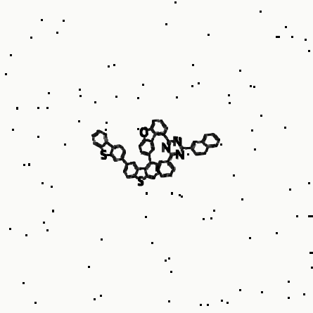 c1ccc(-c2nc(-c3ccc4ccccc4c3)nc(-c3cccc4oc5ccc(-c6cccc7sc8ccc(-c9ccc%10c(c9)sc9ccccc9%10)cc8c67)cc5c34)n2)cc1